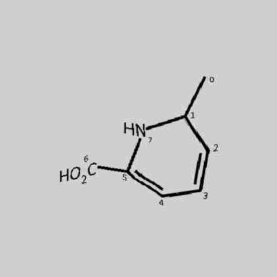 CC1C=CC=C(C(=O)O)N1